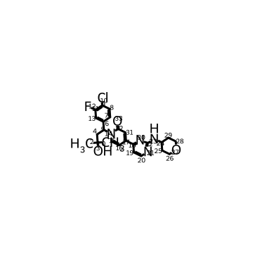 CC(C)(O)CC(c1ccc(Cl)c(F)c1)n1ccc(-c2ccnc(NC3CCOCC3)n2)cc1=O